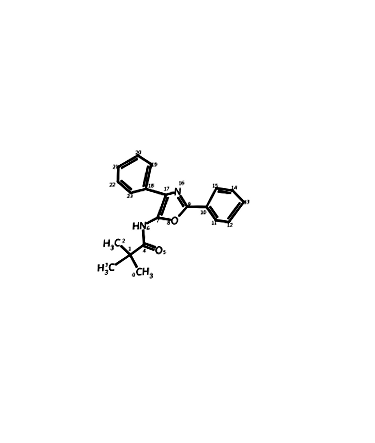 CC(C)(C)C(=O)Nc1oc(-c2ccccc2)nc1-c1ccccc1